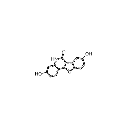 O=c1[nH]c2cc(O)ccc2c2oc3ccc(O)cc3c12